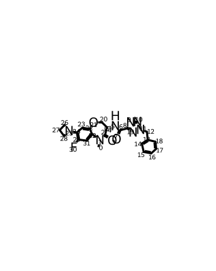 CN1C(=O)[C@@H](NC(=O)c2nnn(Cc3ccccc3)n2)COc2cc(N3CCC3)c(F)cc21